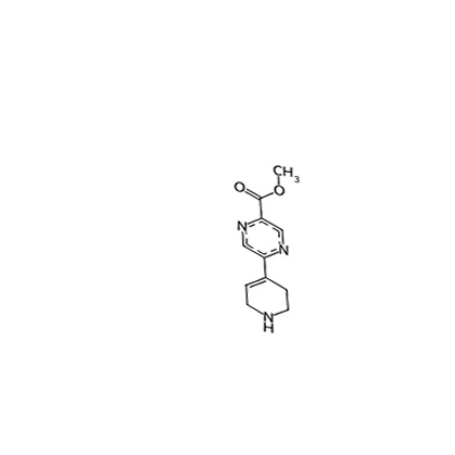 COC(=O)c1cnc(C2=CCNCC2)cn1